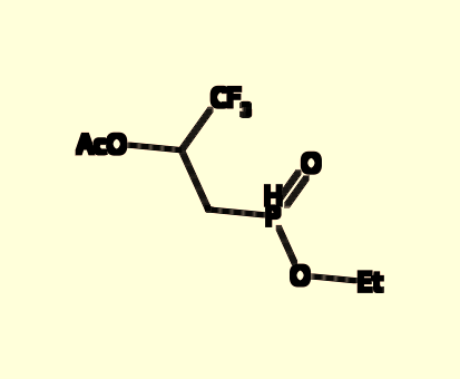 CCO[PH](=O)CC(OC(C)=O)C(F)(F)F